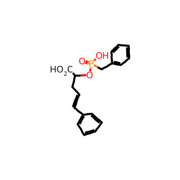 O=C(O)C(CC=Cc1ccccc1)OP(=O)(O)Cc1ccccc1